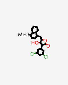 COc1ccc(C=C2OC(=O)C(c3cc(Cl)cc(Cl)c3)=C2O)c2ccccc12